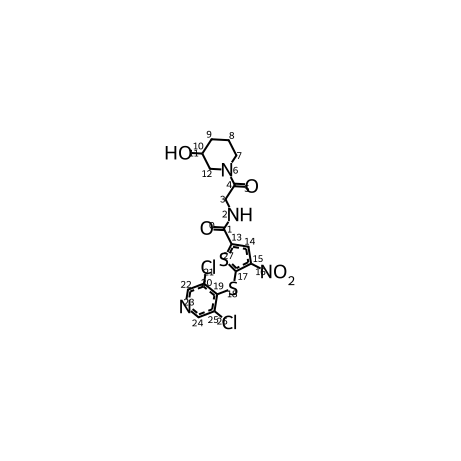 O=C(NCC(=O)N1CCCC(O)C1)c1cc([N+](=O)[O-])c(Sc2c(Cl)cncc2Cl)s1